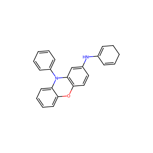 C1=CC(Nc2ccc3c(c2)N(c2ccccc2)c2ccccc2O3)=CCC1